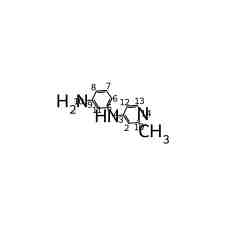 Cc1cc(Nc2cccc(N)c2)ccn1